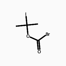 CC(C)(I)OC(=O)Br